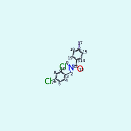 CN(Cc1ccc(Cl)cc1Cl)C(=O)c1ccc(I)cc1